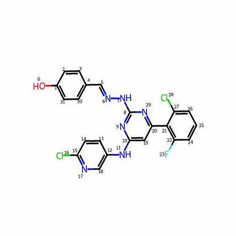 Oc1ccc(/C=N/Nc2nc(Nc3ccc(Cl)nc3)cc(-c3c(F)cccc3Cl)n2)cc1